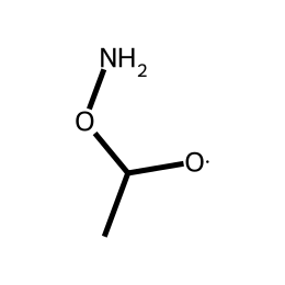 CC([O])ON